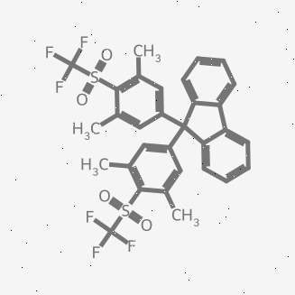 Cc1cc(C2(c3cc(C)c(S(=O)(=O)C(F)(F)F)c(C)c3)c3ccccc3-c3ccccc32)cc(C)c1S(=O)(=O)C(F)(F)F